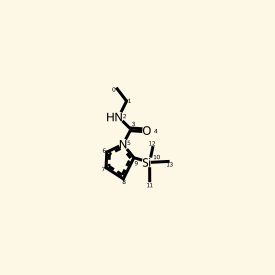 CCNC(=O)n1cccc1[Si](C)(C)C